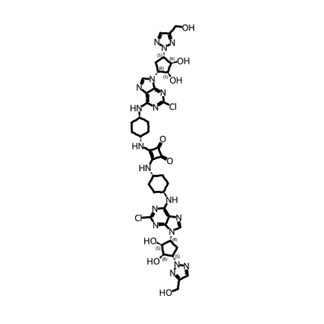 O=c1c(N[C@H]2CC[C@H](Nc3nc(Cl)nc4c3ncn4[C@@H]3C[C@H](n4ncc(CO)n4)[C@@H](O)[C@H]3O)CC2)c(N[C@H]2CC[C@H](Nc3nc(Cl)nc4c3ncn4[C@@H]3C[C@H](n4ncc(CO)n4)[C@@H](O)[C@H]3O)CC2)c1=O